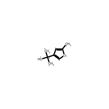 Cc1cc(C(C)(C)O)co1